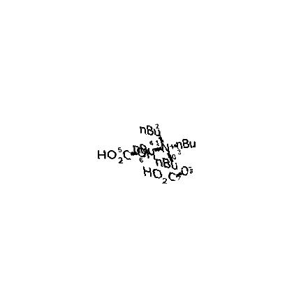 CCCC[N+](CCCC)(CCCC)CCCC.O=C(O)O.O=C([O-])O